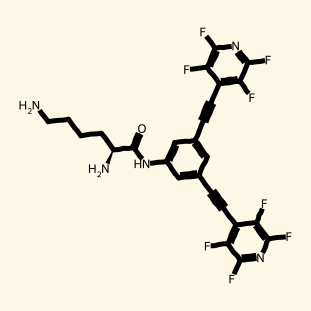 NCCCC[C@H](N)C(=O)Nc1cc(C#Cc2c(F)c(F)nc(F)c2F)cc(C#Cc2c(F)c(F)nc(F)c2F)c1